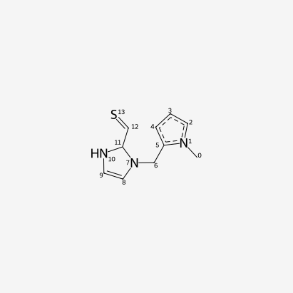 Cn1cccc1CN1C=CNC1C=S